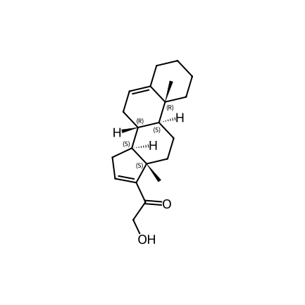 C[C@]12CCCCC1=CC[C@@H]1[C@@H]2CC[C@]2(C)C(C(=O)CO)=CC[C@@H]12